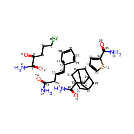 NC(=O)C(=O)CCCBr.NC(=O)C12CC3CC(CC(C3)C1)C2.NC(=O)CC=Cc1ccccc1.NC(=O)c1cccs1